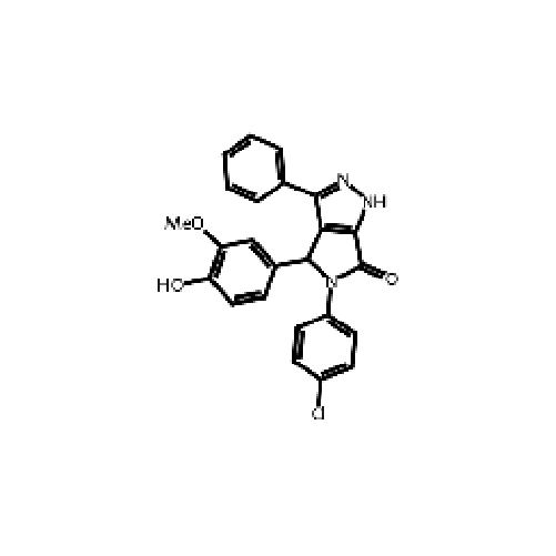 COc1cc(C2c3c(-c4ccccc4)n[nH]c3C(=O)N2c2ccc(Cl)cc2)ccc1O